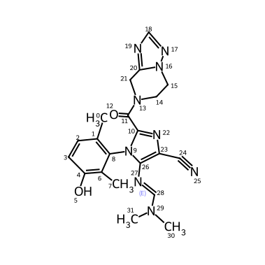 Cc1ccc(O)c(C)c1-n1c(C(=O)N2CCn3ncnc3C2)nc(C#N)c1/N=C/N(C)C